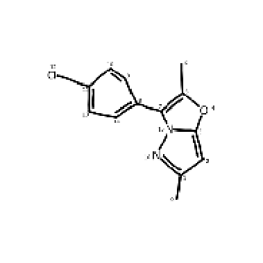 Cc1cc2oc(C)c(-c3ccc(Cl)cc3)n2n1